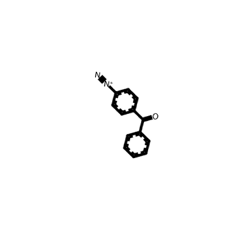 N#[N+]c1ccc(C(=O)c2ccccc2)cc1